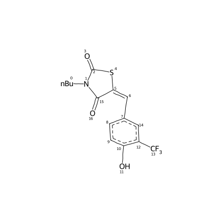 CCCCN1C(=O)S/C(=C/c2ccc(O)c(C(F)(F)F)c2)C1=O